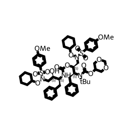 COc1ccc(S(=O)(=O)N(C[C@H](OC(=O)N[C@@H](Cc2ccccc2)[C@@H](O)CN(OC2CCCCC2)S(=O)(=O)c2ccc(OC)cc2)[C@H](Cc2ccccc2)N(C(=O)OC2COCOC2)C(C)(C)C)OC2CCCCC2)cc1